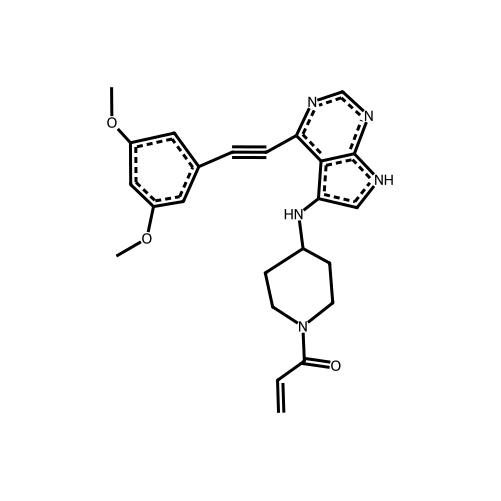 C=CC(=O)N1CCC(Nc2c[nH]c3ncnc(C#Cc4cc(OC)cc(OC)c4)c23)CC1